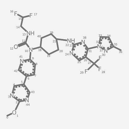 COc1ncc(-c2ccc(N(C(=O)NCC(F)F)C3CCC(Nc4ncc(C(F)(F)F)c(-n5ccc(C)n5)n4)CC3)nc2)cn1